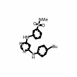 CCC(C)c1ccc(Nc2cc(Nc3cccc(S(=O)(=O)NC)c3)ncn2)cc1